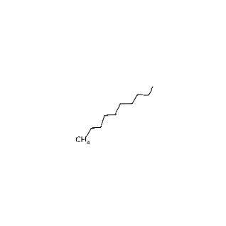 C.CCCCCCCCCC